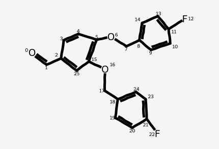 O=Cc1ccc(OCc2ccc(F)cc2)c(OCc2ccc(F)cc2)c1